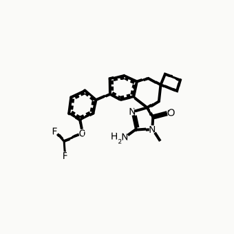 CN1C(=O)C2(CC3(CCC3)Cc3ccc(-c4cccc(OC(F)F)c4)cc32)N=C1N